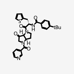 CC(C)(C)c1ccc(C(=O)N[C@@H](Cc2cccs2)C(=O)N2CC[C@@H]3[C@H]2C(=O)CN3C(=O)c2cccnc2)cc1